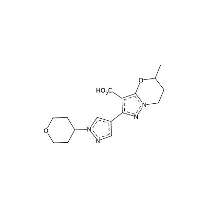 CC1CCn2nc(-c3cnn(C4CCOCC4)c3)c(C(=O)O)c2O1